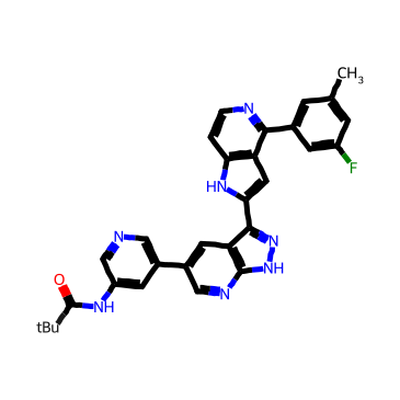 Cc1cc(F)cc(-c2nccc3[nH]c(-c4n[nH]c5ncc(-c6cncc(NC(=O)C(C)(C)C)c6)cc45)cc23)c1